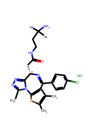 Cl.[2H]C([2H])(N)CCNC(=O)C[C@@H]1N=C(c2ccc(Cl)cc2)c2c(sc(C)c2C)-n2c(C)nnc21